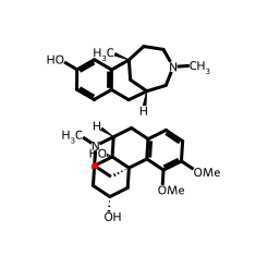 CN1CC[C@]2(C)C[C@@H](Cc3ccc(O)cc32)C1.COc1ccc2c(c1OC)[C@]13CCN(C)[C@H](C2)[C@]1(O)CC[C@@H](O)C3